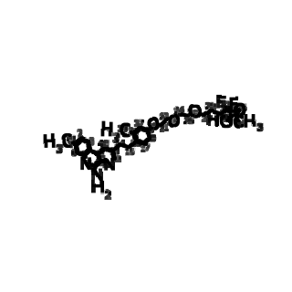 Cc1ccc2c(c1)nc(N)c1ncc(CCc3ccc(OCCOCCOCCCC(F)(F)P(C)(=O)O)cc3C)cc12